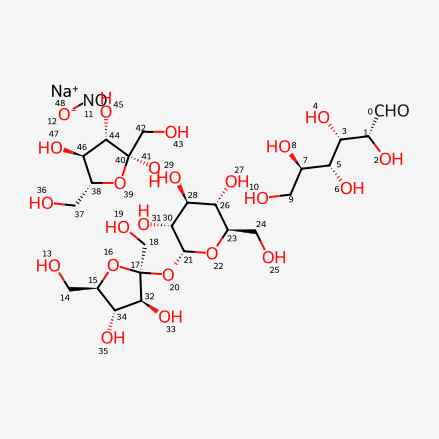 O=C[C@H](O)[C@@H](O)[C@H](O)[C@H](O)CO.O=N[O-].OC[C@H]1O[C@@](CO)(O[C@H]2O[C@H](CO)[C@@H](O)[C@H](O)[C@H]2O)[C@@H](O)[C@@H]1O.OC[C@H]1O[C@](O)(CO)[C@@H](O)[C@@H]1O.[Na+]